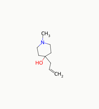 C=CCC1(O)CCN(C)CC1